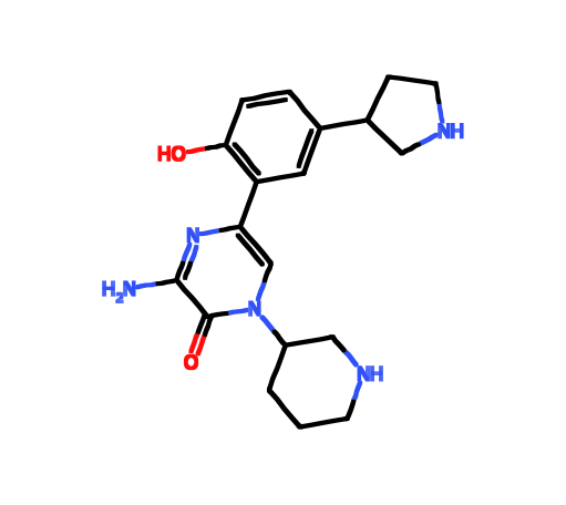 Nc1nc(-c2cc(C3CCNC3)ccc2O)cn(C2CCCNC2)c1=O